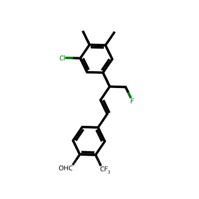 Cc1cc(C(/C=C/c2ccc(C=O)c(C(F)(F)F)c2)CF)cc(Cl)c1C